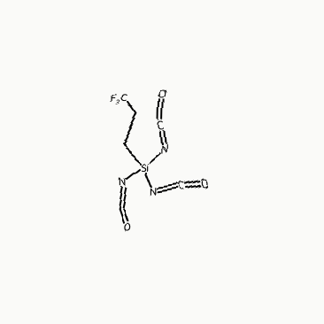 O=C=N[Si](CCC(F)(F)F)(N=C=O)N=C=O